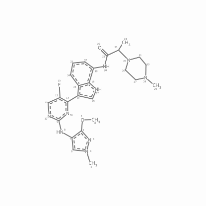 COc1nn(C)cc1Nc1ncc(F)c(-c2c[nH]c3c(NC(=O)C(C)N4CCN(C)CC4)cccc23)n1